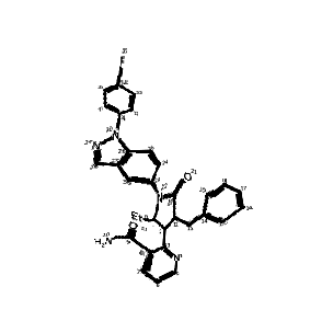 CCC1C(c2ncccc2C(N)=O)C(Cc2ccccc2)C(=O)N1c1ccc2c(cnn2-c2ccc(F)cc2)c1